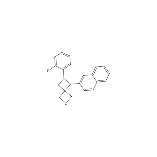 Fc1ccccc1C1CC2(COC2)C1c1ccc2ccccc2c1